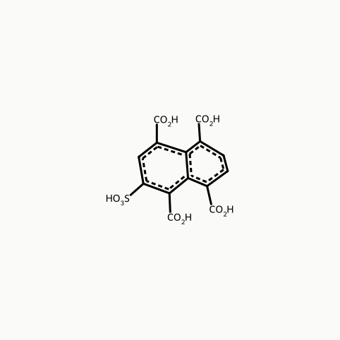 O=C(O)c1ccc(C(=O)O)c2c(C(=O)O)c(S(=O)(=O)O)cc(C(=O)O)c12